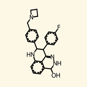 OC1NN=C2c3c(cccc31)NC(c1ccc(CN3CCC3)cc1)C2c1ccc(F)cc1